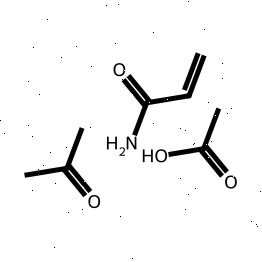 C=CC(N)=O.CC(=O)O.CC(C)=O